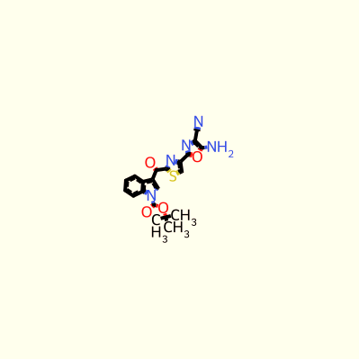 CC(C)(C)OC(=O)n1cc(C(=O)c2nc(-c3nc(C#N)c(N)o3)cs2)c2ccccc21